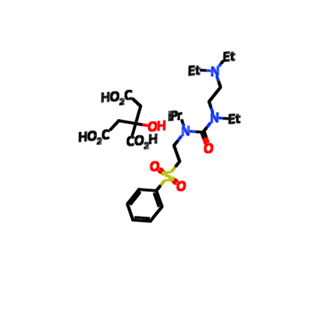 CCN(CC)CCN(CC)C(=O)N(CCS(=O)(=O)c1ccccc1)C(C)C.O=C(O)CC(O)(CC(=O)O)C(=O)O